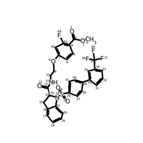 COC(=O)c1ccc(OCCNC(=O)[C@@H]2Cc3ccccc3N2S(=O)(=O)c2ccc(-c3cccc(C(F)(F)F)c3)cc2)cc1F